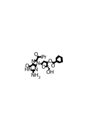 CC(C)C(=O)c1nc2c(=O)[nH]c(N)nc2n1[C@@H]1C[C@@H](OC(=O)c2ccccc2)[C@@H](CO)O1